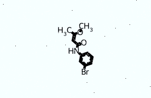 COC(C)=CC(=O)Nc1cccc(Br)c1